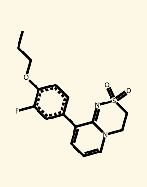 CCCOc1ccc(C2=CC=CN3CCS(=O)(=O)N=C23)cc1F